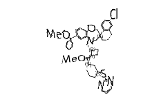 COC(=O)c1ccc2c(c1)N(C[C@@H]1CC[C@H]1[C@H](OC)[C@H]1CCC[C@H](Sc3ncccn3)C1)C[C@@]1(CCCc3cc(Cl)ccc31)CO2